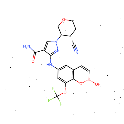 N#C[C@H]1CCOCC1n1cc(C(N)=O)c(Nc2cc3c(c(OC(F)(F)F)c2)OB(O)C=C3)n1